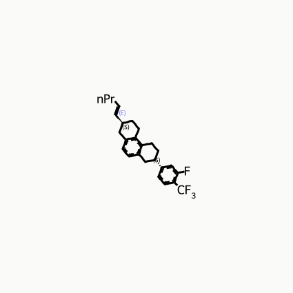 CCC/C=C/[C@H]1CCc2c(ccc3c2CC[C@H](c2ccc(C(F)(F)F)c(F)c2)C3)C1